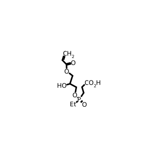 C=CC(=O)OCC(O)COP(=O)(CC)CCC(=O)O